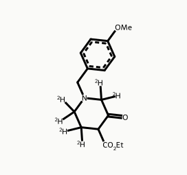 [2H]C1([2H])C(=O)C(C(=O)OCC)C([2H])([2H])C([2H])([2H])N1Cc1ccc(OC)cc1